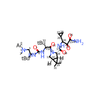 CC(=O)N(C)C[C@@H](NC(=O)N[C@H](C(=O)N1C[C@H]2[C@@H]([C@H]1C(=O)NC(C(=O)C(N)=O)C1CC1)C2(C)C)C(C)(C)C)C(C)(C)C